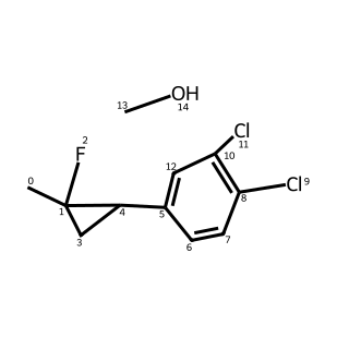 CC1(F)CC1c1ccc(Cl)c(Cl)c1.CO